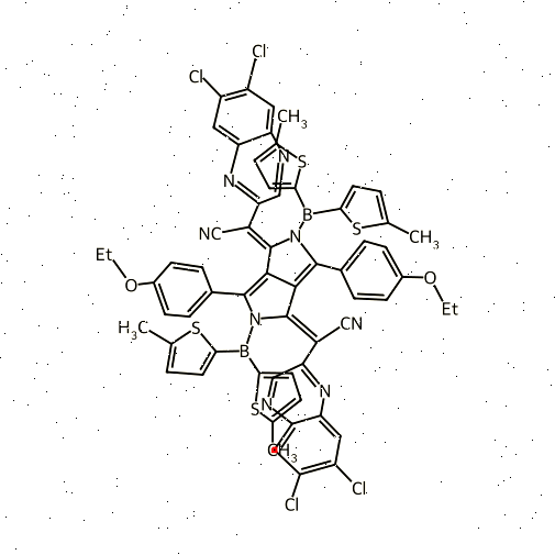 CCOc1ccc(-c2c3/c(=C(\C#N)c4cnc5cc(Cl)c(Cl)cc5n4)n(B(c4ccc(C)s4)c4ccc(C)s4)c(-c4ccc(OCC)cc4)c3/c(=C(\C#N)c3cnc4cc(Cl)c(Cl)cc4n3)n2B(c2ccc(C)s2)c2ccc(C)s2)cc1